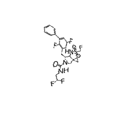 O=C(NCC(F)F)N1CC2(CC2)[C@H](NS(=O)(=O)CF)[C@@H]1Cc1cc(F)cc(-c2ccccc2)c1F